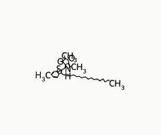 CCCCCCCCCCCCCCCCCc1c(-c2[nH]c(C)c3c2C(=O)C(C)C3=O)sc2cc(C)ccc12